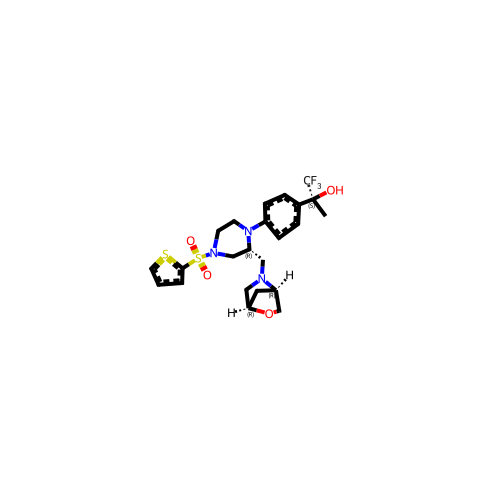 C[C@](O)(c1ccc(N2CCN(S(=O)(=O)c3cccs3)C[C@H]2CN2C[C@H]3C[C@@H]2CO3)cc1)C(F)(F)F